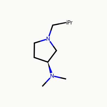 CC(C)CN1CC[C@H](N(C)C)C1